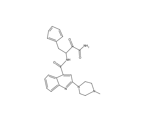 CN1CCN(c2cc(C(=O)NC(Cc3ccccc3)C(=O)C(N)=O)c3ccccc3n2)CC1